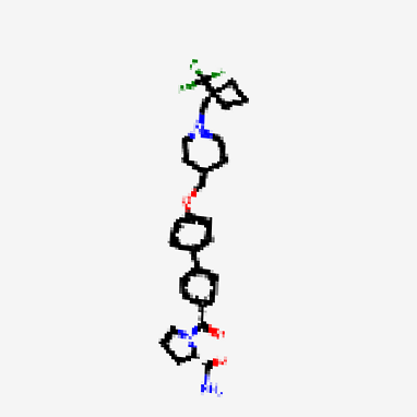 NC(=O)[C@@H]1CCCN1C(=O)c1ccc(-c2ccc(OCC3CCN(CC4(C(F)(F)F)CCC4)CC3)cc2)cc1